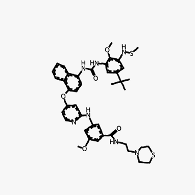 COc1cc(Nc2cc(Oc3ccc(NC(=O)Nc4cc(C(C)(C)C)cc(NSC)c4OC)c4ccccc34)ccn2)cc(C(=O)NCCN2CCSCC2)c1